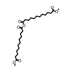 COC(=O)CCCCCCCCCCC(=O)OC(=O)CCCCCCCCCCC(=O)OC